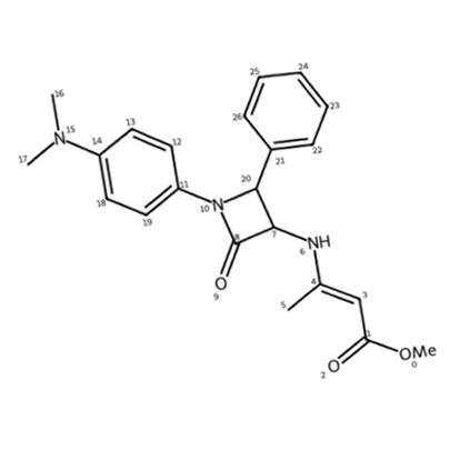 COC(=O)/C=C(\C)NC1C(=O)N(c2ccc(N(C)C)cc2)C1c1ccccc1